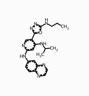 CCCNc1nnc(-c2cnc(Nc3ccc4nccnc4c3)cc2NC(C)C)o1